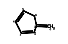 C=C1[C]=CC=CC1